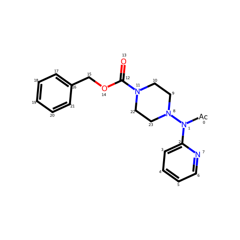 CC(=O)N(c1ccccn1)N1CCN(C(=O)OCc2ccccc2)CC1